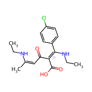 CCNC(C)=CC(=O)/C(C(=O)O)=C(/NCC)c1ccc(Cl)cc1